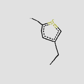 [CH2]c1cc(CC)cs1